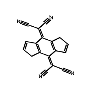 N#CC(C#N)=c1c2c(c(=C(C#N)C#N)c3c1CC=C3)CC=C2